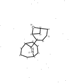 C1CC2CCCC(C1)C(C1CCCC3CC1O3)N2